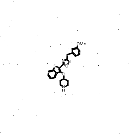 COc1cccc(Cc2noc(-c3sc4ccccc4c3OC3CCNCC3)n2)c1